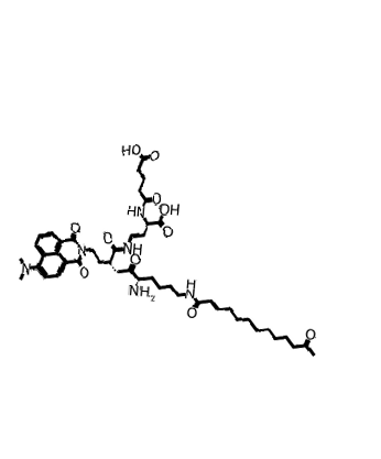 CC(=O)CCCCCCCCCCC(=O)NCCCC[C@H](N)C(=O)C[C@H](CCN1C(=O)c2cccc3c(N(C)C)ccc(c23)C1=O)C(=O)NCC[C@@H](NC(=O)CCCC(=O)O)C(=O)O